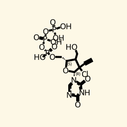 C#CC1(Cl)C(CO)[C@@H](COP(=O)(O)OP(=O)(O)OP(=O)(O)O)O[C@H]1n1cnc(=O)[nH]c1=O